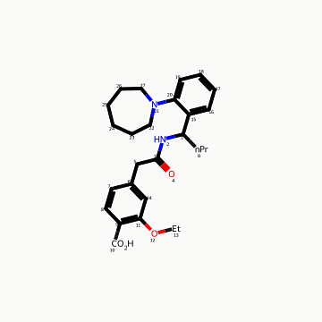 CCCC(NC(=O)Cc1ccc(C(=O)O)c(OCC)c1)c1ccccc1N1CCCCCC1